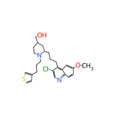 COc1ccc2ncc(Cl)c(CCCC3CC(CO)CCN3CCCc3ccsc3)c2c1